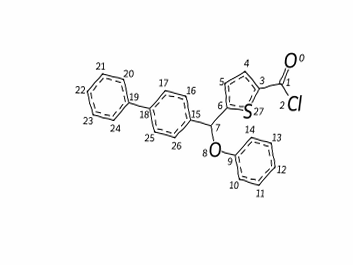 O=C(Cl)c1ccc(C(Oc2ccccc2)c2ccc(-c3ccccc3)cc2)s1